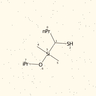 CCCC(S)[Si](C)(C)OC(C)C